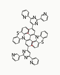 c1ccc(-c2cc(-c3ccc(-c4ccc(-c5cc(-c6ccccn6)nc(-c6cccnc6)n5)cc4N4c5ccccc5Sc5ccccc54)c(N4c5ccccc5Sc5ccccc54)c3)nc(-c3cccnc3)n2)nc1